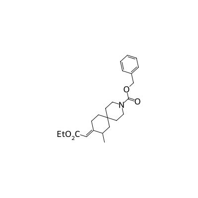 CCOC(=O)C=C1CCC2(CCN(C(=O)OCc3ccccc3)CC2)CC1C